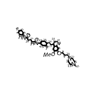 COc1cc2c(cc1OCCCN1CCN(C)CC1)=NC[C@@H](C)C=2CCc1ccc(NC(=O)CCCC(=O)Nc2ccc(F)cc2)cc1F